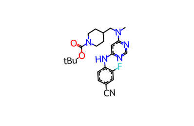 CN(CC1CCN(C(=O)OC(C)(C)C)CC1)c1cc(Nc2ccc(C#N)cc2F)ncn1